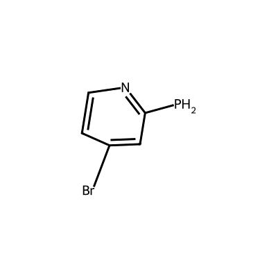 Pc1cc(Br)ccn1